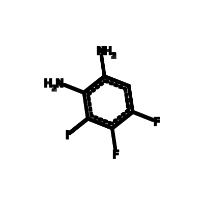 Nc1cc(F)c(F)c(I)c1N